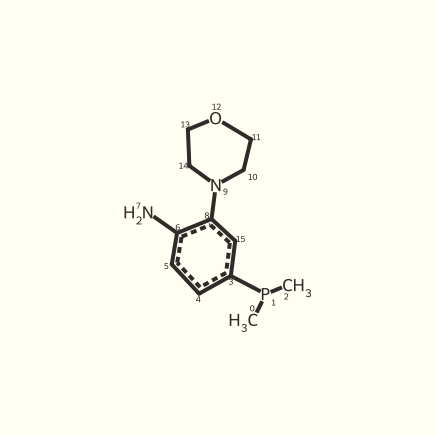 CP(C)c1ccc(N)c(N2CCOCC2)c1